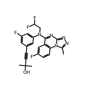 Cc1nnc2nc(N(CC(F)F)c3cc(F)cc(C#CC(C)(C)O)c3)c3cc(F)ccc3n12